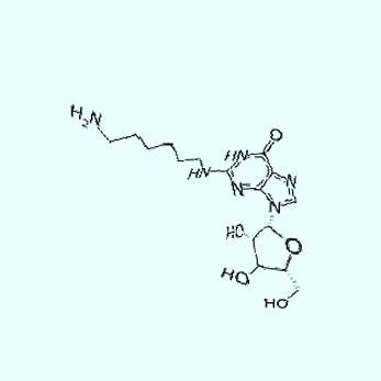 NCCCCCCNc1nc2c(ncn2[C@@H]2O[C@H](CO)C(O)[C@@H]2O)c(=O)[nH]1